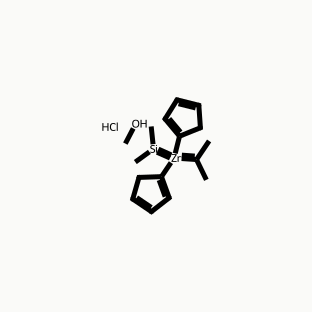 CO.C[C](C)=[Zr]([C]1=CC=CC1)([C]1=CC=CC1)=[Si](C)C.Cl